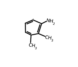 Cc1cc[c]c(N)c1C